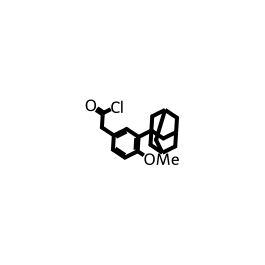 COc1ccc(CC(=O)Cl)cc1C12CC3CC(CC(C3)C1)C2